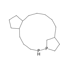 C1CCC2CCP(C2)PCCCC2CCCC2CC1